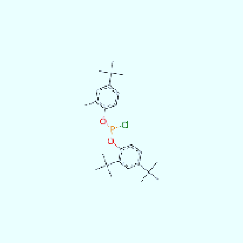 Cc1cc(C(C)(C)C)ccc1OP(Cl)Oc1ccc(C(C)(C)C)cc1C(C)(C)C